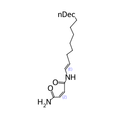 CCCCCCCCCCCCCCCC/C=C/NC(=O)/C=C\C(N)=O